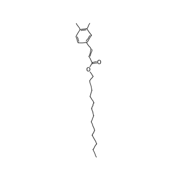 CCCCCCCCCCCCCOC(=O)C=Cc1ccc(C)c(C)c1